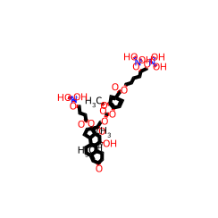 COc1cc(C(=O)OCCCCC(CON(O)O)ON(O)O)ccc1OC(=O)OCC(=O)[C@@]1(OC(=O)CCCON(O)O)CCC2C3CCC4=CC(=O)CC[C@]4(C)[C@H]3[C@@H](O)C[C@@]21C